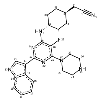 N#CC[C@H]1CC[C@H](Nc2nc(-c3cnn4ccccc34)nc(N3CCNCC3)c2F)CC1